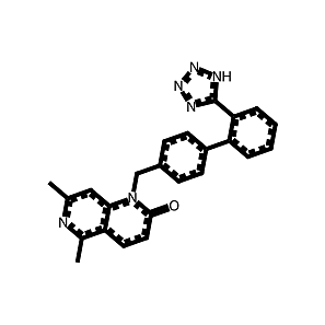 Cc1cc2c(ccc(=O)n2Cc2ccc(-c3ccccc3-c3nnn[nH]3)cc2)c(C)n1